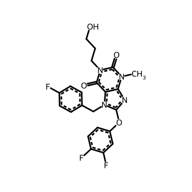 Cn1c(=O)n(CCCO)c(=O)c2c1nc(Oc1ccc(F)c(F)c1)n2Cc1ccc(F)cc1